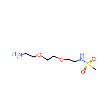 CS(=O)(=O)NCCOCCOCCN